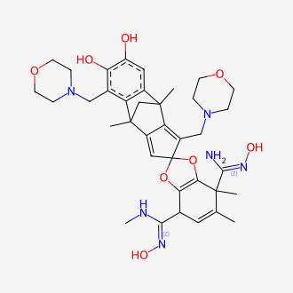 CN/C(=N\O)C1C=C(C)C(C)(/C(N)=N/O)C2=C1OC1(C=C3C(=C1CN1CCOCC1)C1(C)CC3(C)c3c1cc(O)c(O)c3CN1CCOCC1)O2